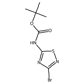 CC(C)(C)OC(=O)Nc1nc(Br)ns1